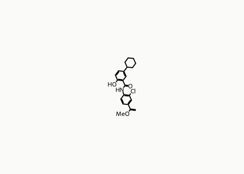 C=C(OC)c1ccc(NC(=O)c2cc(C3CCCCC3)ccc2O)c(Cl)c1